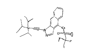 CC(C)[Si](C#Cn1ncc2c(OS(=O)(=O)C(F)(F)F)c3ccccc3cc21)(C(C)C)C(C)C